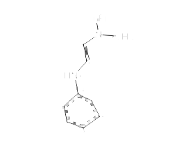 CCCN(C=O)C=CNc1ccccc1